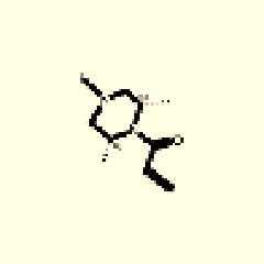 C=CC(=O)N1[C@H](C)CN(I)C[C@@H]1C